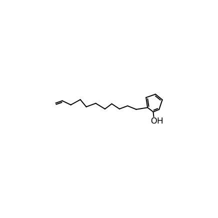 C=CCCCCCCCCCc1ccccc1O